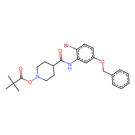 CC(C)(C)C(=O)ON1CCC(C(=O)Nc2cc(OCc3ccccc3)ccc2Br)CC1